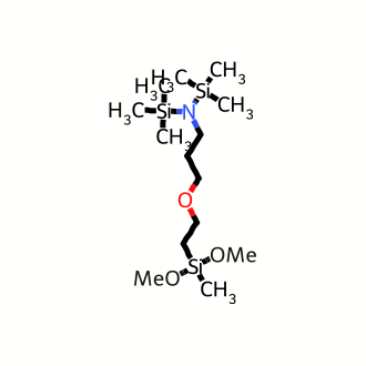 CO[Si](C)(CCOCCCN([Si](C)(C)C)[Si](C)(C)C)OC